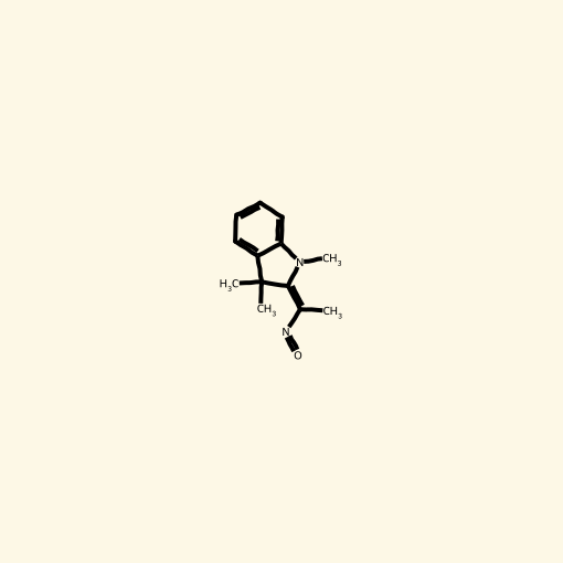 CC(N=O)=C1N(C)c2ccccc2C1(C)C